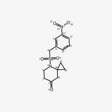 O=C1CCN(S(=O)(=O)Cc2cccc([N+](=O)[O-])c2)C2(CC2)C1